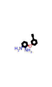 C#Cc1cccc(Oc2cccc(N)c2N)c1